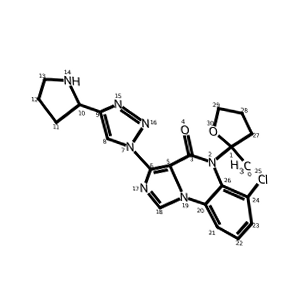 CC1(n2c(=O)c3c(-n4cc(C5CCCN5)nn4)ncn3c3cccc(Cl)c32)CCCO1